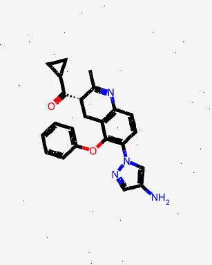 CC1=Nc2ccc(-n3cc(N)cn3)c(Oc3ccccc3)c2C[C@@H]1C(=O)C1CC1